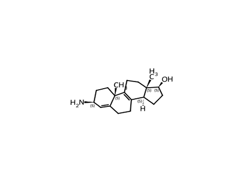 C[C@]12CC[C@H](N)C=C1CCC1=C2CC[C@]2(C)[C@@H](O)CC[C@@H]12